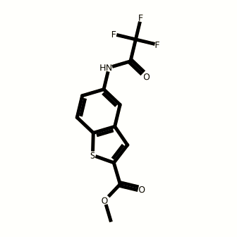 COC(=O)c1cc2cc(NC(=O)C(F)(F)F)ccc2s1